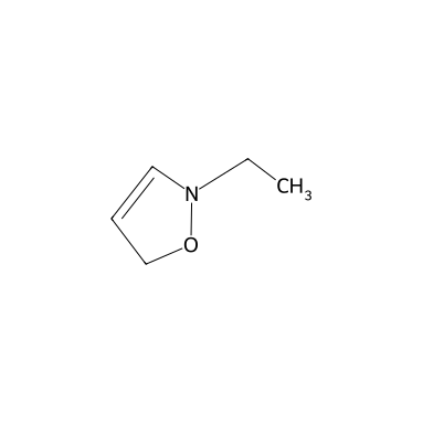 CCN1C=CCO1